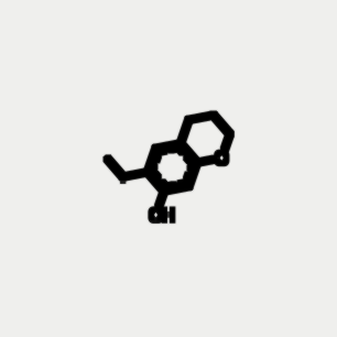 C[CH]c1cc2c(cc1O)OCCC2